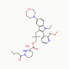 CCCC(=O)N1CCC[C@](O)(C(=O)OCC(C)(C)Cc2c(-c3cccnc3[C@H](C)OC)n(CC)c3ccc(N4CCCOCC4)cc23)N1